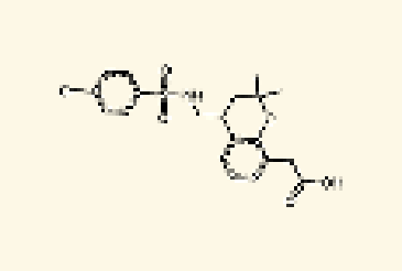 CC1(C)CC(CNS(=O)(=O)c2ccc(Cl)cc2)c2cccc(CC(=O)O)c2O1